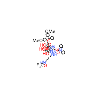 COc1ccc(C(OC[C@H]2O[C@@H]([N+]3([C@@H]4C[C@H](O)[C@@H](CO)O4)C=Nc4c(OC(=O)N(c5ccccc5)c5ccccc5)nc(NCCCCCCNC(=O)C(F)(F)F)nc43)[C@H](O)[C@@H]2O)(c2ccccc2)c2ccc(OC)cc2)cc1